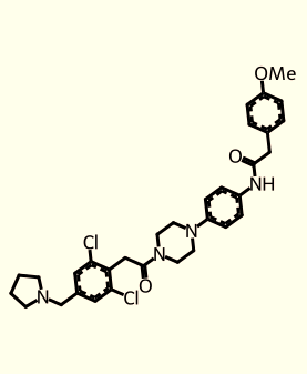 COc1ccc(CC(=O)Nc2ccc(N3CCN(C(=O)Cc4c(Cl)cc(CN5CCCC5)cc4Cl)CC3)cc2)cc1